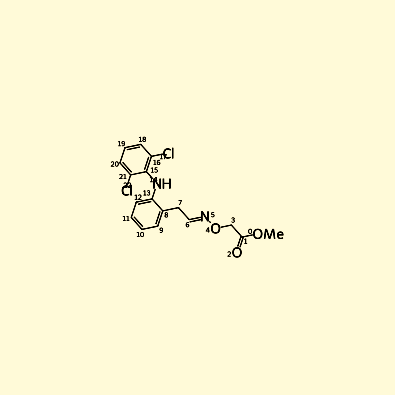 COC(=O)CON=CCc1ccccc1Nc1c(Cl)cccc1Cl